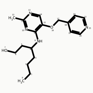 CCCCC(CCO)Nc1nc(C)ncc1OCc1ccncc1